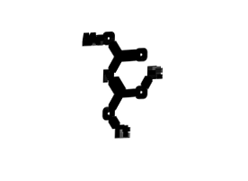 CCOC(=NC(=O)OC)OCC